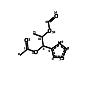 CC(=O)OC(c1cscn1)C(C)OC=O